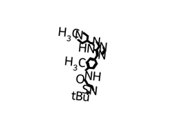 Cc1cc(-c2ncnc3nc(C4CCN(C)CC4)[nH]c23)ccc1CNC(=O)c1cnc(C(C)(C)C)s1